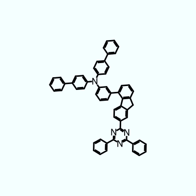 c1ccc(-c2ccc(N(c3ccc(-c4ccccc4)cc3)c3cccc(-c4cccc5c4-c4ccc(-c6nc(-c7ccccc7)nc(-c7ccccc7)n6)cc4C5)c3)cc2)cc1